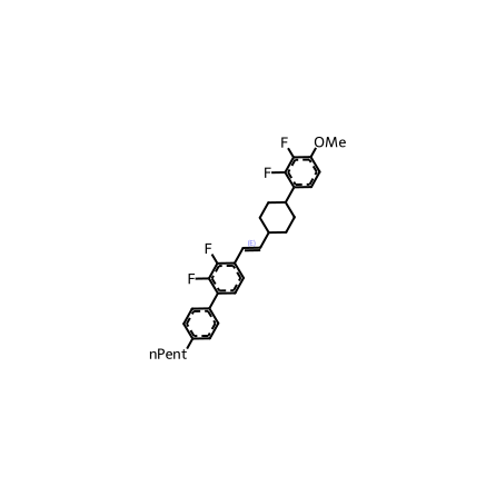 CCCCCc1ccc(-c2ccc(/C=C/C3CCC(c4ccc(OC)c(F)c4F)CC3)c(F)c2F)cc1